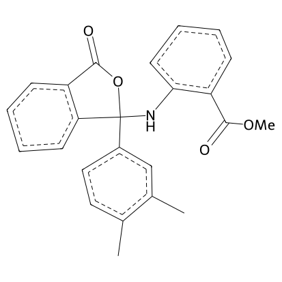 COC(=O)c1ccccc1NC1(c2ccc(C)c(C)c2)OC(=O)c2ccccc21